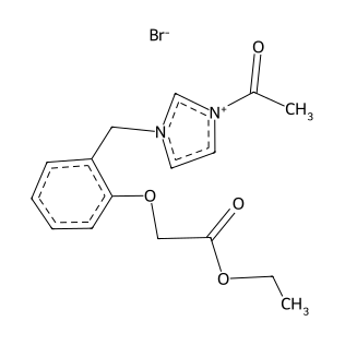 CCOC(=O)COc1ccccc1Cn1cc[n+](C(C)=O)c1.[Br-]